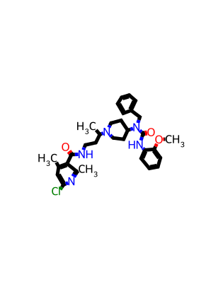 COc1ccccc1NC(=O)N(Cc1ccccc1)C1CCN(C(C)CCNC(=O)c2c(C)cc(Cl)nc2C)CC1